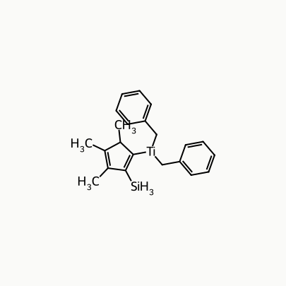 CC1=C(C)C(C)[C]([Ti]([CH2]c2ccccc2)[CH2]c2ccccc2)=C1[SiH3]